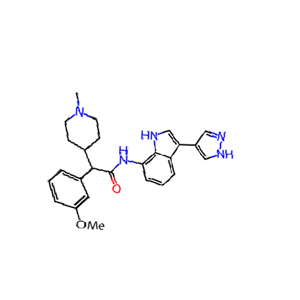 COc1cccc(C(C(=O)Nc2cccc3c(-c4cn[nH]c4)c[nH]c23)C2CCN(C)CC2)c1